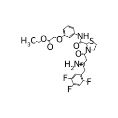 CCOC(=O)COc1cccc(NC(=O)C2SCCN2C(=O)C[C@H](N)Cc2cc(F)c(F)cc2F)c1